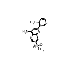 Cc1ccncc1-c1cc(N)c2ncc([SH](C)([O])=O)cc2n1